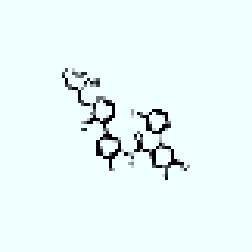 COC[C@H](O)Cn1nccc(-c2ccc(C)c(NC(=O)C3=CN(C)C(=O)C[C@H]3c3cccc(F)c3)c2)c1=O